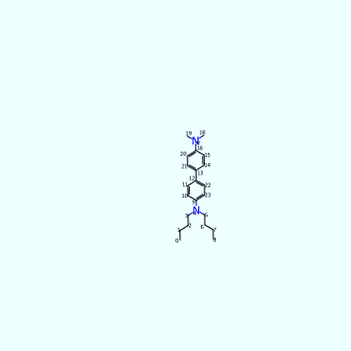 CCCCN(CCCC)c1ccc(-c2ccc(N(C)C)cc2)cc1